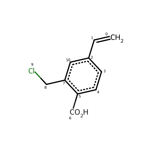 C=Cc1ccc(C(=O)O)c(CCl)c1